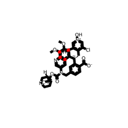 COc1ccc([C@H](Cc2c(Cl)c[n+](O)cc2Cl)c2cc(CN(C(=O)O[C@H]3CN4CCC3CC4)c3ccc(O)nc3)ccc2C(=O)[O-])cc1OC